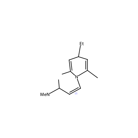 CCC1C=C(C)N(/C=C\C(C)NC)C(C)=C1